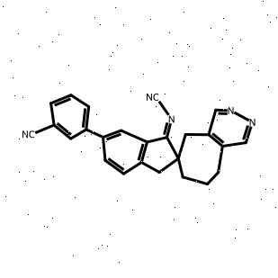 N#C/N=C1\c2cc(-c3cccc(C#N)c3)ccc2CC12CCCc1cnncc1C2